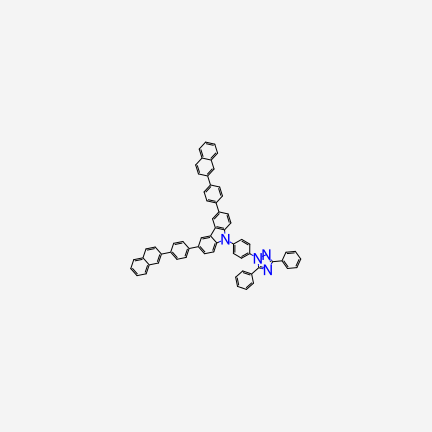 c1ccc(-c2nc(-c3ccccc3)n(-c3ccc(-n4c5ccc(-c6ccc(-c7ccc8ccccc8c7)cc6)cc5c5cc(-c6ccc(-c7ccc8ccccc8c7)cc6)ccc54)cc3)n2)cc1